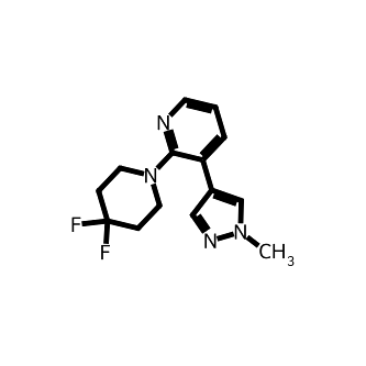 Cn1cc(-c2cccnc2N2CCC(F)(F)CC2)cn1